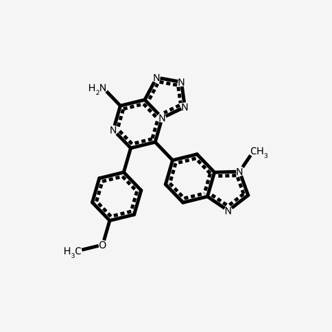 COc1ccc(-c2nc(N)c3nnnn3c2-c2ccc3ncn(C)c3c2)cc1